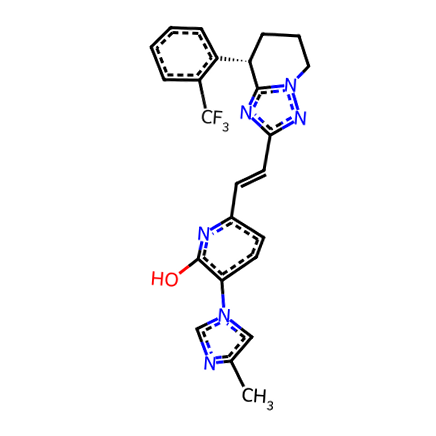 Cc1cn(-c2ccc(/C=C/c3nc4n(n3)CCC[C@H]4c3ccccc3C(F)(F)F)nc2O)cn1